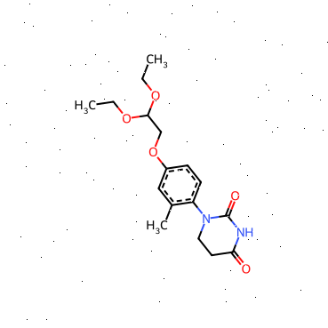 CCOC(COc1ccc(N2CCC(=O)NC2=O)c(C)c1)OCC